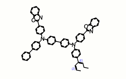 C/C=C\C(=C/CC)c1ccc(N(c2ccc(-c3ccc(N(c4ccc(-c5ccccc5)cc4)c4ccc(-c5nc6ccccc6o5)cc4)cc3)cc2)c2ccc(-c3nc4ccccc4o3)cc2)cc1